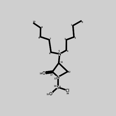 CCCCCN(CCCCC)C1CN([S+]([O-])Cl)C1=O